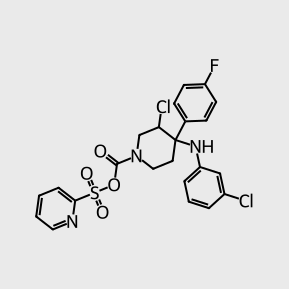 O=C(OS(=O)(=O)c1ccccn1)N1CCC(Nc2cccc(Cl)c2)(c2ccc(F)cc2)C(Cl)C1